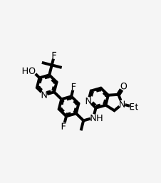 CCN1Cc2c(ccnc2NC(C)c2cc(F)c(-c3cc(C(C)(C)F)c(O)cn3)cc2F)C1=O